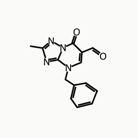 Cc1nc2n(Cc3ccccc3)cc(C=O)c(=O)n2n1